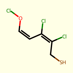 SC/C(Cl)=C(Cl)\C=C/OCl